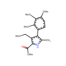 COCc1c(C(=O)OC)[nH]c(C)c1-c1ccc(OC)c(OC)c1OC